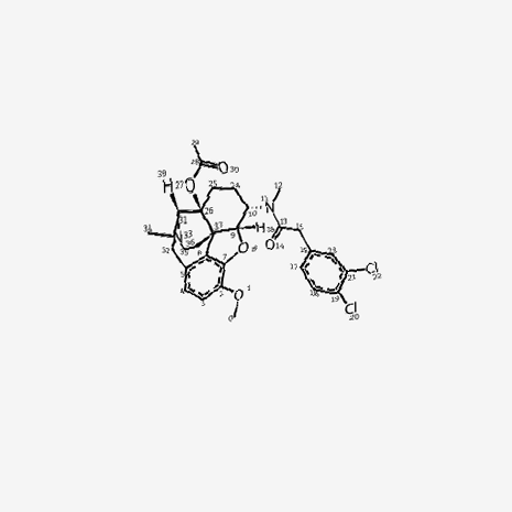 COc1ccc2c3c1O[C@H]1[C@@H](N(C)C(=O)Cc4ccc(Cl)c(Cl)c4)CC[C@@]4(OC(C)=O)[C@@H](C2)N(C)CC[C@]314